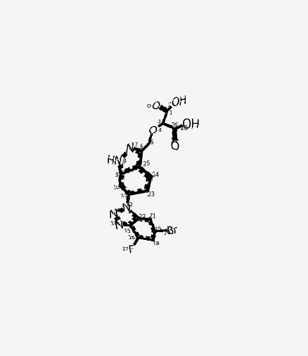 O=C(O)C(OCc1n[nH]c2cc(-n3nnc4c(F)cc(Br)cc43)ccc12)C(=O)O